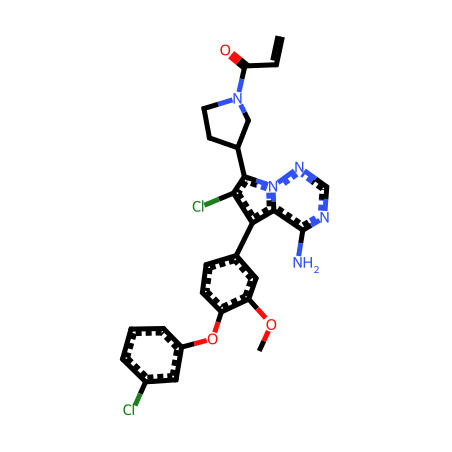 C=CC(=O)N1CCC(c2c(Cl)c(-c3ccc(Oc4cccc(Cl)c4)c(OC)c3)c3c(N)ncnn23)C1